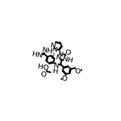 CC(=O)O.COCc1cc(OC)cc(C(Nc2ccc(C(=N)N)cc2)c2nn(-c3cccnn3)c(=O)[nH]2)c1